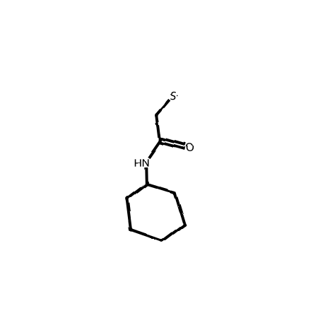 O=C(C[S])NC1CCCCC1